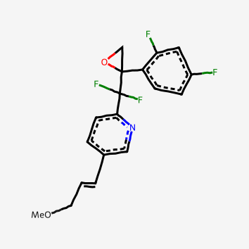 COC/C=C/c1ccc(C(F)(F)C2(c3ccc(F)cc3F)CO2)nc1